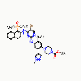 COc1cc(N2CCN(C(=O)OC(C)(C)C)CC2)c(-c2cnn(C)c2)cc1Nc1ncc(Br)c(Nc2ccc3ccccc3c2P(=O)(OC)OC)n1